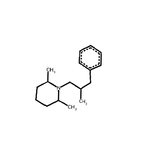 CC(Cc1ccccc1)CN1C(C)CCCC1C